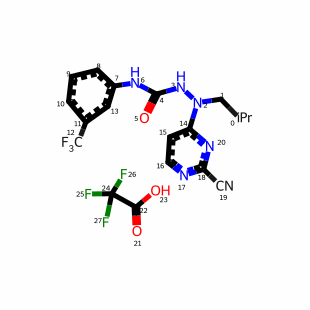 CC(C)CN(NC(=O)Nc1cccc(C(F)(F)F)c1)c1ccnc(C#N)n1.O=C(O)C(F)(F)F